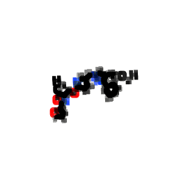 Cc1oc(-c2ccco2)nc1COc1ccc(Cn2cc(CC(=O)O)c(-c3ccccc3)n2)cn1